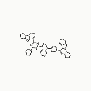 C1=C(c2nc(-c3ccccc3)nc(-c3ccc(-c4ccc(-c5nc6ccccc6c6sc7ccccc7c56)cc4)c4ccccc34)n2)c2oc3ccccc3c2CC1